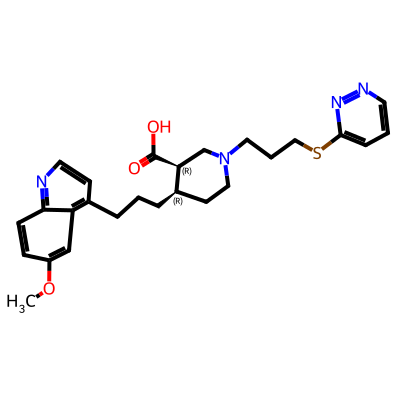 COc1ccc2nccc(CCC[C@@H]3CCN(CCCSc4cccnn4)C[C@@H]3C(=O)O)c2c1